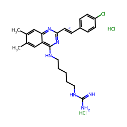 Cc1cc2nc(/C=C/c3ccc(Cl)cc3)nc(NCCCCCNC(=N)N)c2cc1C.Cl.Cl